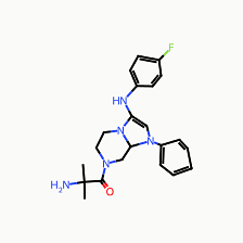 CC(C)(N)C(=O)N1CCN2C(Nc3ccc(F)cc3)=CN(c3ccccc3)C2C1